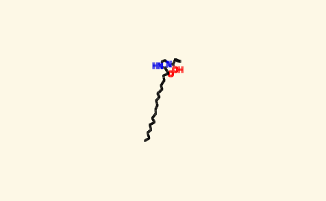 C=CC(O)N1CCNC1C(=O)CCCCCCCCCCCCCCCCC